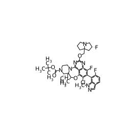 C[C@@H]1Oc2c(Cl)c(-c3c(F)ccc4cnn(C)c34)c(F)c3nc(OCC45CCCN4C[C@H](F)C5)nc(c23)N2CCN(C(=O)OC(C)(C)C)[C@@H](C)[C@@H]12